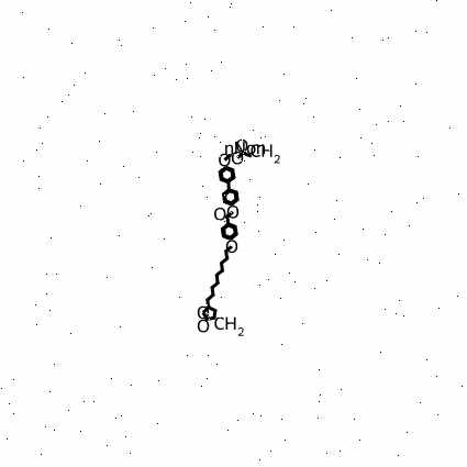 C=CC(=O)OC(CCCCCCCCC)Oc1ccc(-c2ccc(OC(=O)c3ccc(OCCCCCCCCCC4CC(=C)C(=O)O4)cc3)cc2)cc1